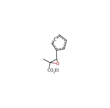 CCOC(=O)C1(C)OC1c1ccccc1